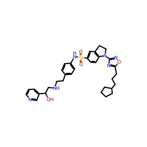 O=S(=O)(Nc1ccc(CCNCC(O)c2cccnc2)cc1)c1ccc2c(c1)CCN2c1noc(CCCC2CCCC2)n1